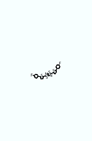 Fc1ccc(-c2ccc(-c3nc4sc(-c5ccc(-c6ccc(F)cc6)s5)nc4s3)s2)cc1